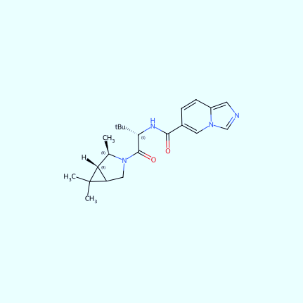 C[C@@H]1[C@@H]2C(CN1C(=O)[C@@H](NC(=O)c1ccc3cncn3c1)C(C)(C)C)C2(C)C